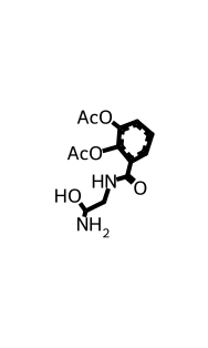 CC(=O)Oc1cccc(C(=O)NCC(N)O)c1OC(C)=O